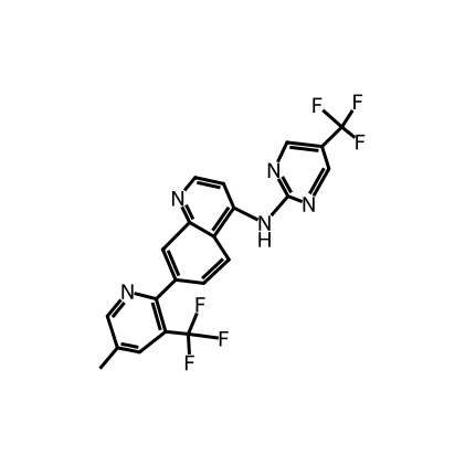 Cc1cnc(-c2ccc3c(Nc4ncc(C(F)(F)F)cn4)ccnc3c2)c(C(F)(F)F)c1